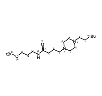 CC(C)(C)CCN1CCN(CCCC(=O)NCCCOC(C)(C)C)CC1